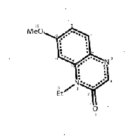 CCn1c(=O)cnc2ccc(OC)cc21